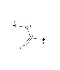 [CH2]COC(=O)CCC